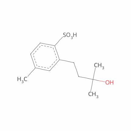 Cc1ccc(S(=O)(=O)O)c(CCC(C)(C)O)c1